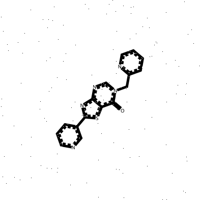 O=c1c2sc(-c3cccnc3)nc2ncn1Cc1ccccn1